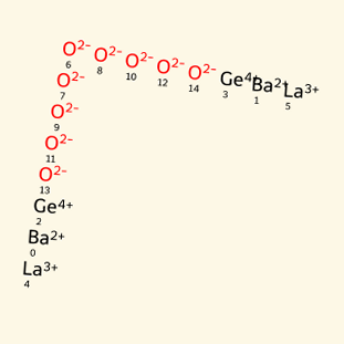 [Ba+2].[Ba+2].[Ge+4].[Ge+4].[La+3].[La+3].[O-2].[O-2].[O-2].[O-2].[O-2].[O-2].[O-2].[O-2].[O-2]